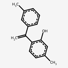 C=C(c1cccc(C)c1)c1ccc(C)cc1O